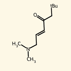 CN(C)C/C=C/C(=O)CC(C)(C)C